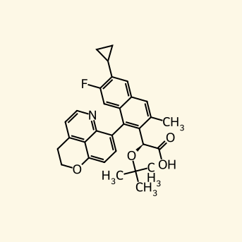 Cc1cc2cc(C3CC3)c(F)cc2c(-c2ccc3c4c(ccnc24)CCO3)c1[C@H](OC(C)(C)C)C(=O)O